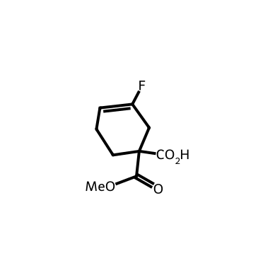 COC(=O)C1(C(=O)O)CCC=C(F)C1